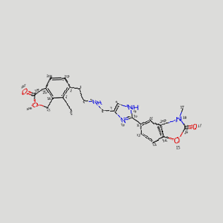 Cc1c(CCNCc2c[nH]c(-c3ccc4oc(=O)n(C)c4c3)n2)ccc2c1COC2=O